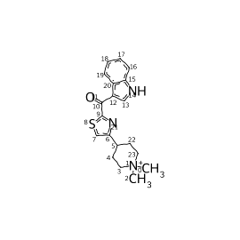 C[N+]1(C)CCC(c2csc(C(=O)c3c[nH]c4ccccc34)n2)CC1